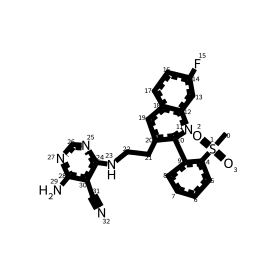 CS(=O)(=O)c1ccccc1-c1nc2cc(F)ccc2cc1CCNc1ncnc(N)c1C#N